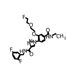 CCNC(=O)c1ccc(-n2cc(C(=O)NCc3cc(F)ccc3F)nn2)c(OCCOCCF)c1